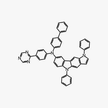 c1ccc(-c2ccc(N(c3ccc(-c4ncncn4)cc3)c3ccc4c(c3)c3cc5c(ccn5-c5ccccc5)cc3n4-c3ccccc3)cc2)cc1